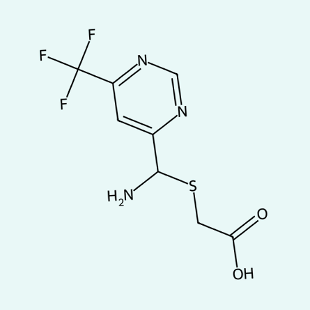 NC(SCC(=O)O)c1cc(C(F)(F)F)ncn1